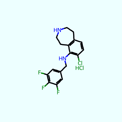 Cl.Fc1cc(CNc2c(Cl)ccc3c2CCNCC3)cc(F)c1F